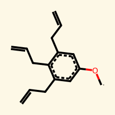 [CH2]Oc1cc(CC=C)c(CC=C)c(CC=C)c1